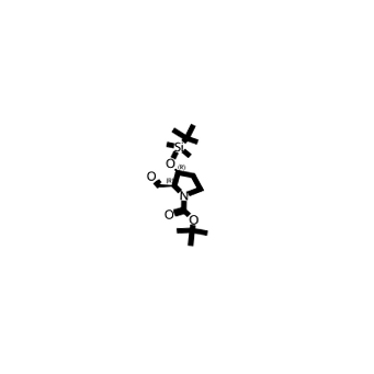 CC(C)(C)OC(=O)N1CC[C@@H](O[Si](C)(C)C(C)(C)C)[C@@H]1C=O